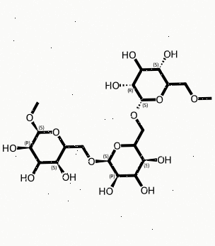 COCC1O[C@H](OCC2O[C@H](OCC3O[C@H](OC)[C@H](O)C(O)[C@@H]3O)[C@H](O)C(O)[C@@H]2O)[C@H](O)C(O)[C@@H]1O